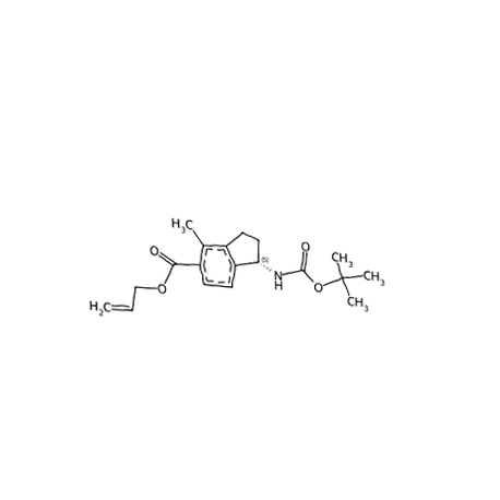 C=CCOC(=O)c1ccc2c(c1C)CC[C@@H]2NC(=O)OC(C)(C)C